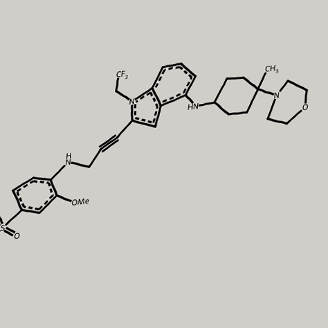 CCS(=O)(=O)c1ccc(NCC#Cc2cc3c(NC4CCC(C)(N5CCOCC5)CC4)cccc3n2CC(F)(F)F)c(OC)c1